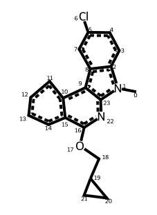 Cn1c2ccc(Cl)cc2c2c3ccccc3c(OCC3CC3)nc21